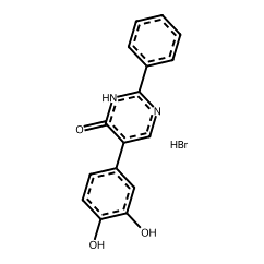 Br.O=c1[nH]c(-c2ccccc2)ncc1-c1ccc(O)c(O)c1